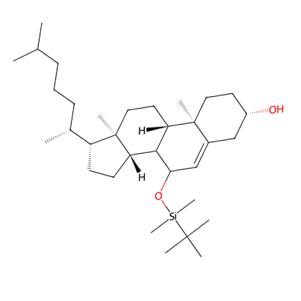 CC(C)CCC[C@@H](C)[C@H]1CC[C@H]2C3C(O[Si](C)(C)C(C)(C)C)C=C4C[C@@H](O)CC[C@]4(C)[C@H]3CC[C@]12C